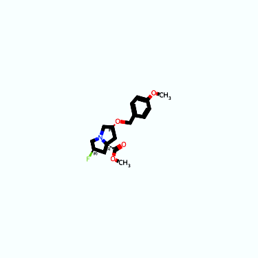 COC(=O)[C@]12C[C@@H](F)CN1C[C@H](OCc1ccc(OC)cc1)C2